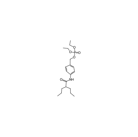 CCCC(CCC)C(=O)Nc1ccc(COP(=O)(OCC)OCC)cc1